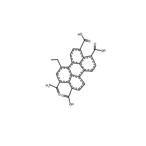 CCc1cc(C(N)=O)c2c(C(=O)O)ccc3c4ccc(C(=O)O)c5c(C(=O)O)ccc(c1c23)c54